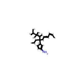 C/C=C\C=CCC(CCC)(C1C=CC(N)=C1)C(C)C(C)(C)C(C)C